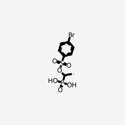 [CH2]C(OS(=O)(=O)c1ccc(Br)cc1)P(=O)(O)O